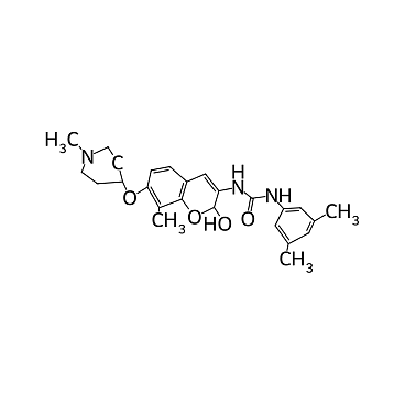 Cc1cc(C)cc(NC(=O)NC2=Cc3ccc(OC4CCN(C)CC4)c(C)c3OC2O)c1